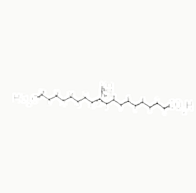 O=C(O)CCCCCCCCCCCCCCCCCCC(=O)O.[KH].[KH]